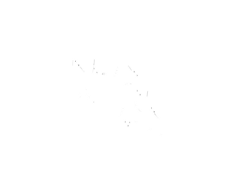 CC1C(=N)N[C@H](c2cc(Nc3ccnc4cc(F)cnc34)ncc2F)CS1(=O)=O